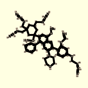 CCCCOc1cc(C2(ON)CC(CN=[N+]=[N-])CC(CN=[N+]=[N-])(CN=[N+]=[N-])C2)c(-c2ccccc2)c2cc(N3CCOCC3)c(-c3ccc(OCN=[N+]=[N-])cc3OC=N)cc12